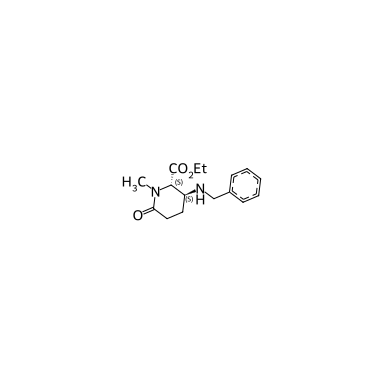 CCOC(=O)[C@@H]1[C@@H](NCc2ccccc2)CCC(=O)N1C